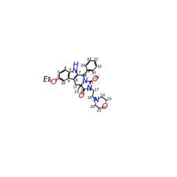 CCOc1ccc2[nH]c3c(c2c1)CC1(C)C(=O)N(CCN2CCOCC2)C(=O)N1C3c1ccccc1